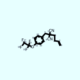 C=CCCC(C#N)(C#N)Cc1ccc(OC(F)(F)C(F)F)cc1